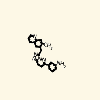 Cc1cc2ncccc2cc1Cc1nnc2ccc(-c3cccc(N)c3)nn12